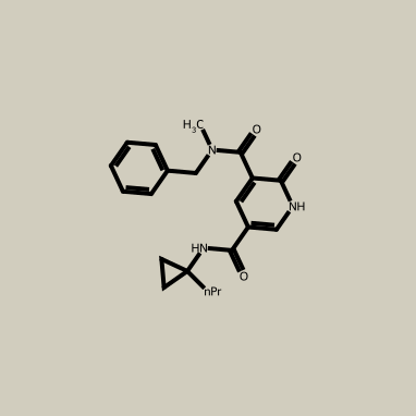 CCCC1(NC(=O)c2c[nH]c(=O)c(C(=O)N(C)Cc3ccccc3)c2)CC1